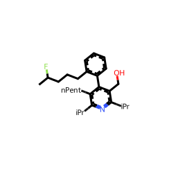 CCCCCc1c(C(C)C)nc(C(C)C)c(CO)c1-c1ccccc1CCCC(C)F